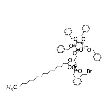 CCCCCCCCCCCCCCCC(=O)OC(CO[C@@H]1O[C@H](COCc2ccccc2)[C@@H](OCc2ccccc2)[C@H](OCc2ccccc2)[C@@H]1OCc1ccccc1)CO[PH](=O)Cc1ccccc1CCBr